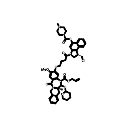 C=CCOC(=O)N1c2cc(OCCCC(=O)N3C[C@@H](CCl)c4c3cc(OC(=O)N3CCN(C)CC3)c3ccccc43)c(OC)cc2C(=O)N2Cc3ccccc3C[C@H]2C1OC1CCCCO1